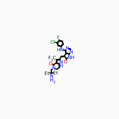 CCC(N)(CC)CN1CCc2[nH]c(C=C3C(=O)Nc4ncnc(Nc5ccc(F)c(Cl)c5)c43)c(C(F)(F)F)c2C1=O